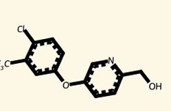 OCc1ccc(Oc2ccc(Cl)c(C(F)(F)F)c2)cn1